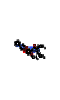 CCCc1nc(CC)c2c(=O)[nH]c(-c3cc(S(=O)(=O)N4CCN(c5ccccn5)CC4)ccc3OCC)nn12